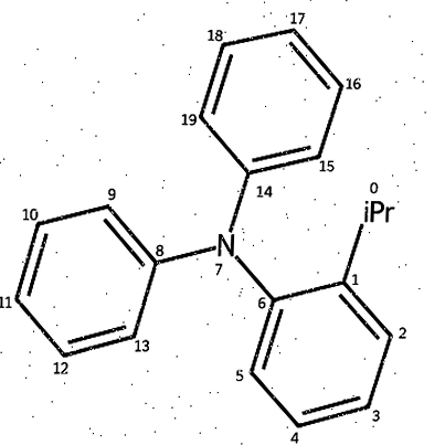 CC(C)c1ccccc1N(c1ccccc1)c1ccccc1